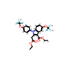 CCOC(=O)Cc1c(C(=O)OCC)c2cc(OC(F)(F)F)ccc2n1-c1ccc(OC(F)(F)F)cc1